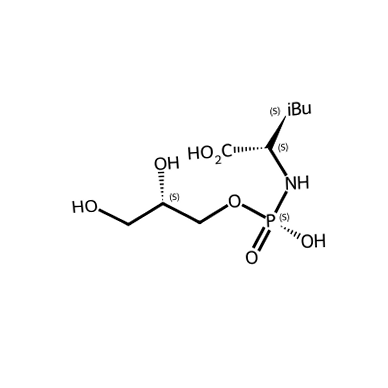 CC[C@H](C)[C@H](N[P@](=O)(O)OC[C@@H](O)CO)C(=O)O